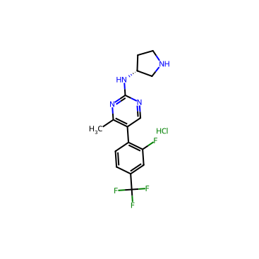 Cc1nc(N[C@@H]2CCNC2)ncc1-c1ccc(C(F)(F)F)cc1F.Cl